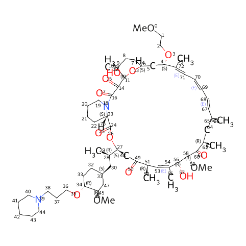 COCCO[C@H]1C[C@@H]2CC[C@@H](C)[C@@](O)(O2)C(=O)C(=O)N2CCCC[C@H]2C(=O)O[C@H]([C@H](C)C[C@@H]2CC[C@@H](OCCCN3CCCCC3)[C@H](OC)C2)CC(=O)[C@H](C)/C=C(\C)[C@@H](O)[C@@H](OC)C(=O)[C@H](C)C[C@H](C)/C=C/C=C/C=C/1C